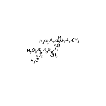 CCCCO[SiH](OCCCC)OCCC(C)CCCN(CCC)CCC